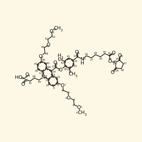 COCCOCCOc1ccc2c(c1)c(C(=O)Oc1c(C)cc(C(=O)NCCCCCC(=O)ON3C(=O)CCC3=O)cc1C)c1cc(OCCOCCOC)ccc1[n+]2CCCS(=O)(=O)O